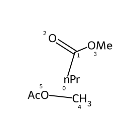 CCCC(=O)OC.COC(C)=O